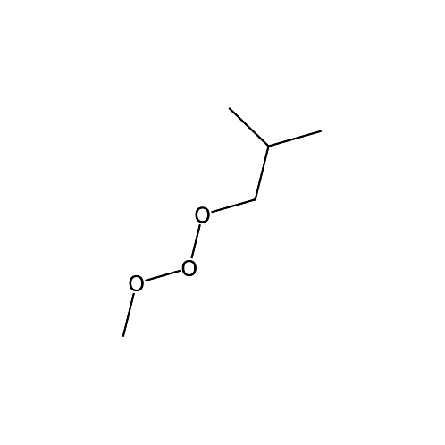 COOOCC(C)C